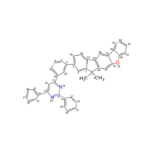 CC1(C)c2cc(-c3cccc(-c4cc(-c5ccccc5)nc(-c5ccccc5)n4)c3)ccc2-c2cc3c(cc21)oc1ccccc13